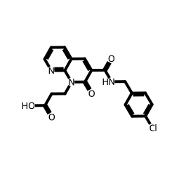 O=C(O)CCn1c(=O)c(C(=O)NCc2ccc(Cl)cc2)cc2cccnc21